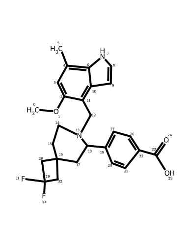 COc1cc(C)c2[nH]ccc2c1CN1CCC2(CC1c1ccc(C(=O)O)cc1)CC(F)(F)C2